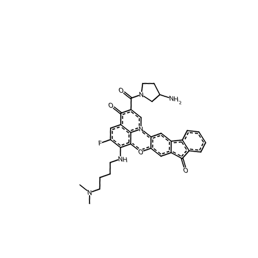 CN(C)CCCCNc1c(F)cc2c(=O)c(C(=O)N3CCC(N)C3)cn3c4cc5c(cc4oc1c23)c(=O)c1ccccc15